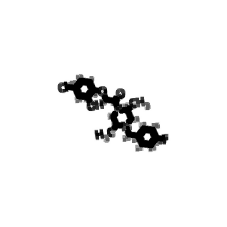 CC1CN(C(=O)COc2ccc(Cl)cc2O)C(C)CN1Cc1ccc(F)cc1